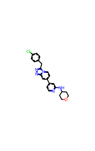 Clc1ccc(Cc2nnc3cc(-c4ccnc(NC5CCOCC5)c4)ccn23)cc1